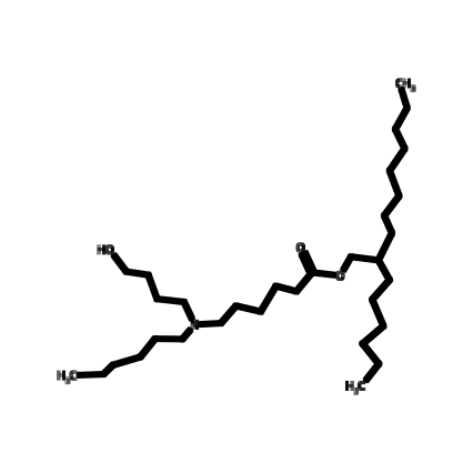 CCCCCCCCC(CCCCCC)COC(=O)CCCCCN(CCCCO)CCCCCC